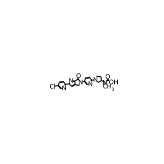 CN(C(=O)O)C1CCN(c2ccc(N3CC4=CC(c5ccc(Cl)cn5)N=C4C3=O)cn2)C1